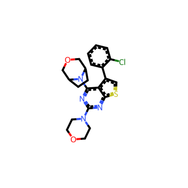 Clc1ccccc1-c1csc2nc(N3CCOCC3)nc(N3C4CCC3COC4)c12